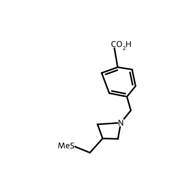 CSCC1CN(Cc2ccc(C(=O)O)cc2)C1